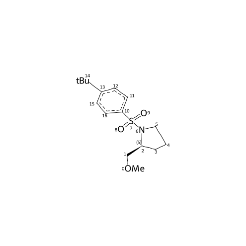 COC[C@@H]1CCCN1S(=O)(=O)c1ccc(C(C)(C)C)cc1